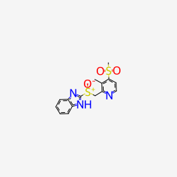 Cc1c(S(C)(=O)=O)ccnc1C[S@+]([O-])c1nc2ccccc2[nH]1